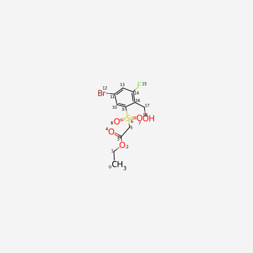 CCOC(=O)CS(=O)(=O)c1cc(Br)cc(F)c1CO